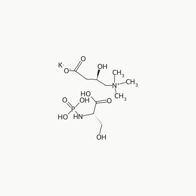 C[N+](C)(C)C[C@H](O)CC(=O)[O-].O=C(O)[C@H](CO)NP(=O)(O)O.[K]